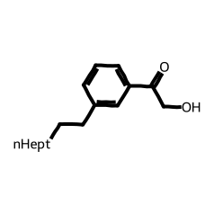 CCCCCCCCCc1cccc(C(=O)CO)c1